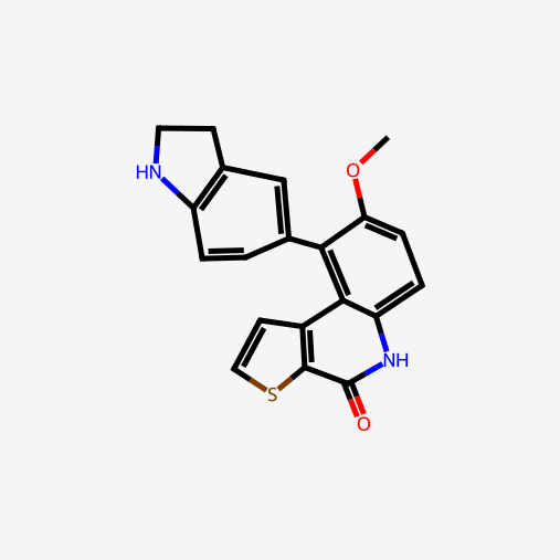 COc1ccc2[nH]c(=O)c3sccc3c2c1-c1ccc2c(c1)CCN2